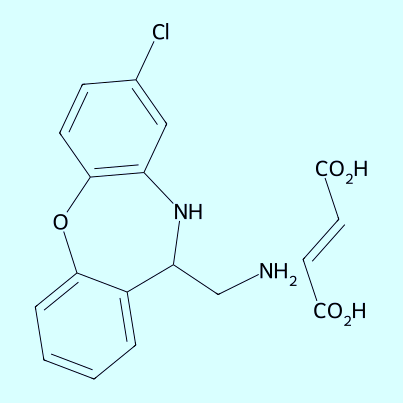 NCC1Nc2cc(Cl)ccc2Oc2ccccc21.O=C(O)C=CC(=O)O